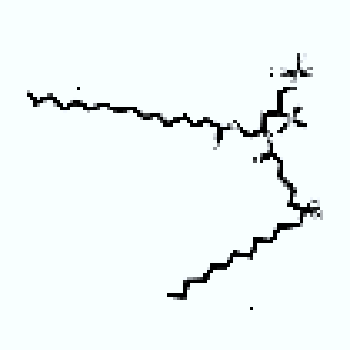 CCCCCCCCCCCCCCCC(=O)OCC(CC(COP(=O)(O)O)[N+](C)(C)C)OC(=O)CCCCC1(CCCCCCCCCCCC)N=N1